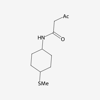 CSC1CCC(NC(=O)CC(C)=O)CC1